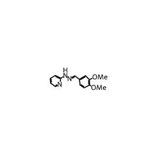 COc1ccc(/C=N/Nc2ccccn2)cc1OC